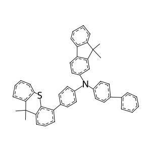 CC1(C)c2ccccc2-c2ccc(N(c3ccc(-c4ccccc4)cc3)c3ccc(-c4cccc5c4Sc4ccccc4C5(C)C)cc3)cc21